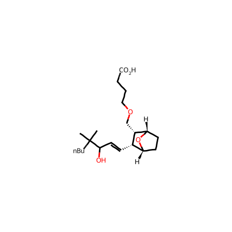 CCCCC(C)(C)C(O)/C=C/[C@@H]1[C@H](COCCCC(=O)O)[C@@H]2CC[C@H]1O2